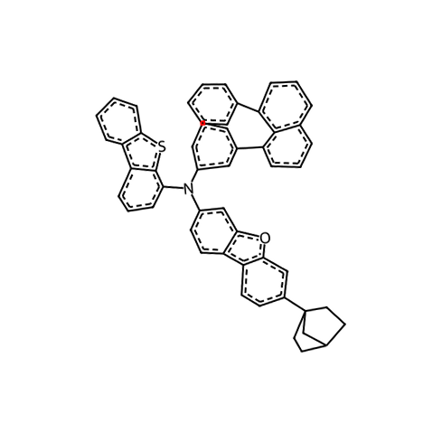 c1ccc(-c2cccc3cccc(-c4cccc(N(c5ccc6c(c5)oc5cc(C78CCC(CC7)C8)ccc56)c5cccc6c5sc5ccccc56)c4)c23)cc1